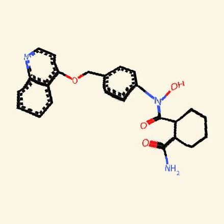 NC(=O)C1CCCCC1C(=O)N(O)c1ccc(COc2ccnc3ccccc23)cc1